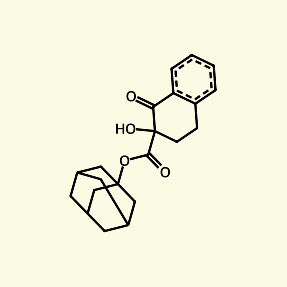 O=C(OC12CC3CC(CC(C3)C1)C2)C1(O)CCc2ccccc2C1=O